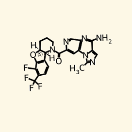 Cc1ncc2c(N)nc3cnc(C(=O)N4CCC[C@@H]5Oc6c(ccc(C(F)(F)F)c6F)[C@@H]54)cc3n12